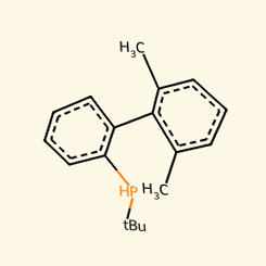 Cc1cccc(C)c1-c1ccccc1PC(C)(C)C